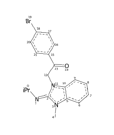 CC(C)/N=c1/n(C)c2ccccc2n1CC(=O)c1ccc(Br)cc1